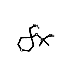 CC(C)(C)[Si](C)(C)OC1(CN)CCOCC1